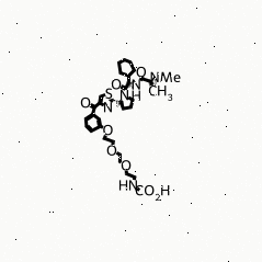 CN[C@@H](C)C(=O)N[C@H](C(=O)N1CCC[C@@H]1c1nc(C(=O)c2cccc(OCCOCCOCCNC(=O)O)c2)cs1)C1CCCCC1